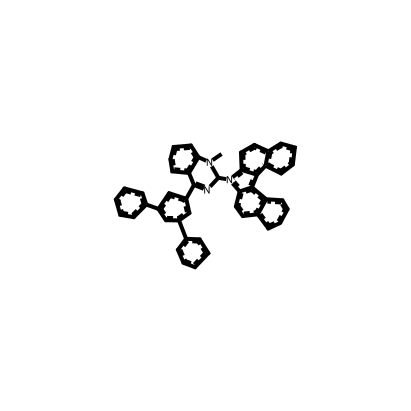 CN1c2ccccc2C(c2cc(-c3ccccc3)cc(-c3ccccc3)c2)=NC1n1c2ccc3ccccc3c2c2c3ccccc3ccc21